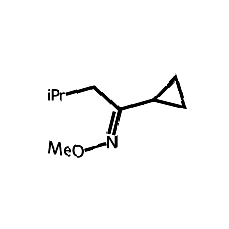 CON=C(CC(C)C)C1CC1